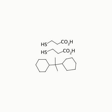 CC(C)(C1CCCCC1)C1CCCCC1.O=C(O)CCS.O=C(O)CCS